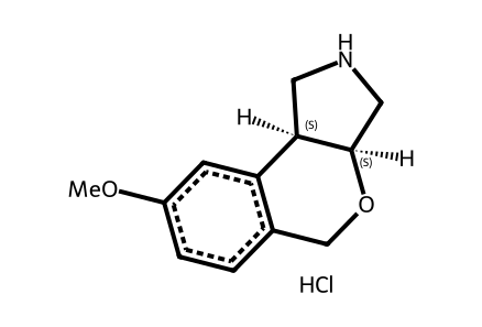 COc1ccc2c(c1)[C@H]1CNC[C@H]1OC2.Cl